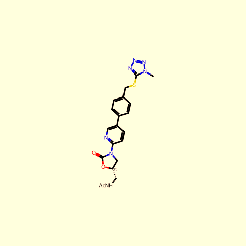 CC(=O)NC[C@H]1CN(c2ccc(-c3ccc(CSc4nnnn4C)cc3)cn2)C(=O)O1